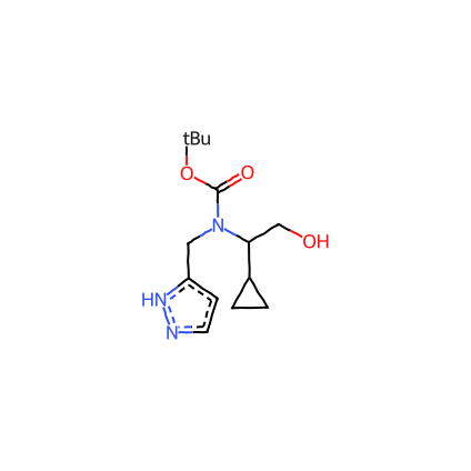 CC(C)(C)OC(=O)N(Cc1ccn[nH]1)C(CO)C1CC1